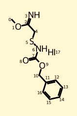 COC(=N)CSNC(=O)OCc1ccccc1.I